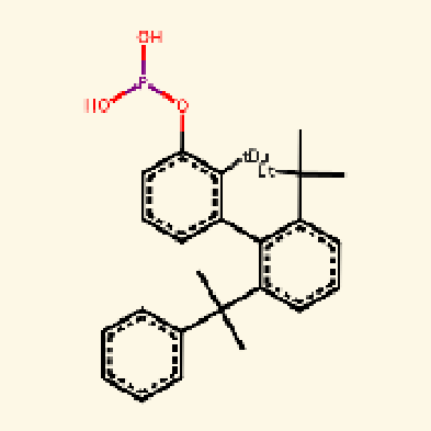 CCC(C)(C)c1cccc(C(C)(C)c2ccccc2)c1-c1cccc(OP(O)O)c1C(C)(C)C